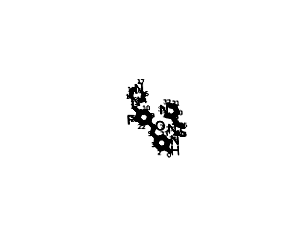 Cc1ccc(CC(=O)c2ccc(CN3CCN(C)CC3)c(F)c2)cc1Nc1nc(-c2cccnc2)cs1